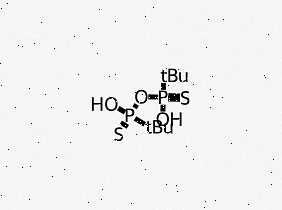 CC(C)(C)P(O)(=S)OP(O)(=S)C(C)(C)C